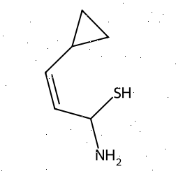 NC(S)/C=C\C1CC1